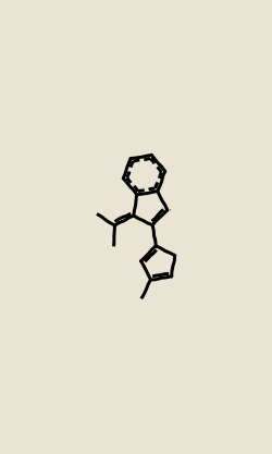 CC1=CCC(C2=[C]c3ccccc3C2=C(C)C)=C1